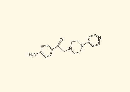 Nc1ccc(C(=O)CN2CCN(c3ccncc3)CC2)cc1